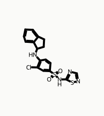 O=S(=O)(Nc1ncns1)c1ccc(NC2CCc3ccccc32)c(Cl)c1